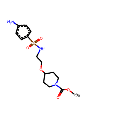 CC(C)(C)OC(=O)N1CCC(OCCNS(=O)(=O)c2ccc(N)cc2)CC1